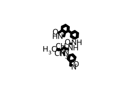 CC(C)(C)c1cc(NC(=O)Nc2cccc(-c3cccc4c3CNC4=O)c2)n(-c2ccc3oncc3c2)n1